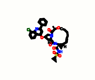 C[C@H]1OCCCC/C=C\[C@@H]2C[C@@]2(C(=O)NS(=O)(=O)C2CC2)NC(=O)[C@@H]2C[C@@H](Oc3cc(-c4ccccc4)nc4c(Cl)cccc34)CN2C1=O